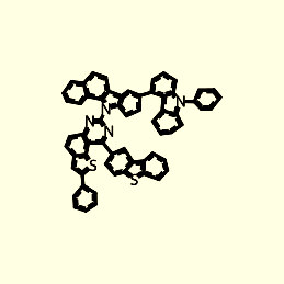 c1ccc(-c2cc3ccc4nc(-n5c6ccc(-c7cccc8c7c7ccccc7n8-c7ccccc7)cc6c6ccc7ccccc7c65)nc(-c5ccc6sc7ccccc7c6c5)c4c3s2)cc1